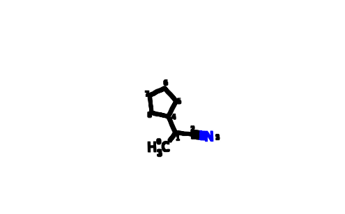 CC(C#N)C1CCCC1